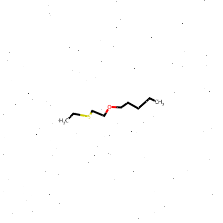 [CH2]CSCCOCCCCC